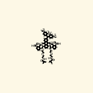 C=C(C)C(=O)NCCOCCOCCN(Cc1ccccc1B(O)O)Cc1c2ccccc2c(CN(CCOCCOCCNC(=O)C(=C)C)Cc2ccccc2B(O)O)c2cc(C3=C4C=CC(=[N+](C)C)C=C4[Si](C)(C)c4cc(N(C)C)ccc43)ccc12